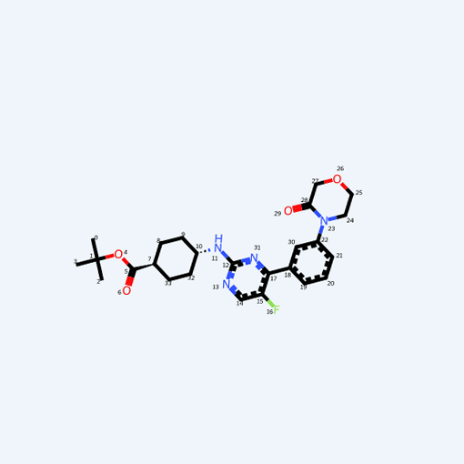 CC(C)(C)OC(=O)[C@H]1CC[C@H](Nc2ncc(F)c(-c3cccc(N4CCOCC4=O)c3)n2)CC1